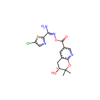 CC1(C)Oc2ncc(C(=O)O/N=C(/N)c3ncc(Cl)s3)cc2C[C@@H]1O